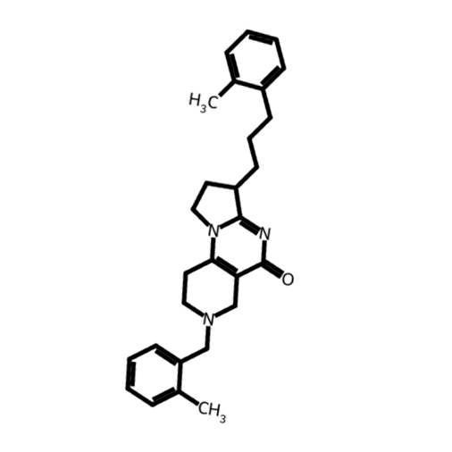 Cc1ccccc1CCCC1CCn2c1nc(=O)c1c2CCN(Cc2ccccc2C)C1